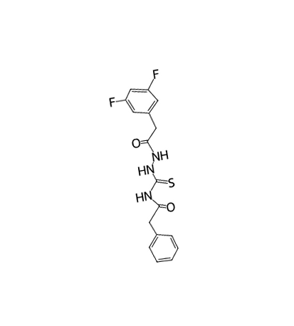 O=C(Cc1cc(F)cc(F)c1)NNC(=S)NC(=O)Cc1ccccc1